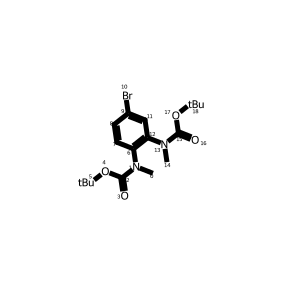 CN(C(=O)OC(C)(C)C)c1ccc(Br)cc1N(C)C(=O)OC(C)(C)C